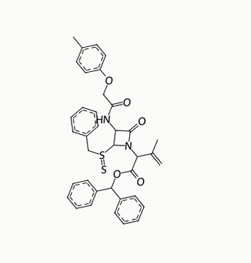 C=C(C)C(C(=O)OC(c1ccccc1)c1ccccc1)N1C(=O)C(NC(=O)COc2ccc(C)cc2)C1S(=S)Cc1ccccc1